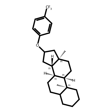 C[C@]12CC[C@@H]3[C@@H](CCC4CCCC[C@@]43C)[C@@H]1CC(Oc1ccc(C(F)(F)F)cc1)C2